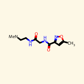 CNCCNC(=O)CNC(=O)c1cc(C)on1